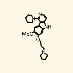 COc1cc2c(cc1OCCCN1CCCC1)[nH]c1ccnc(N3CCCCC3)c12